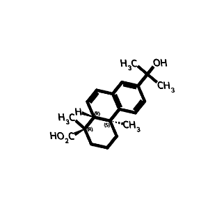 CC(C)(O)c1ccc2c(c1)C=C[C@H]1[C@](C)(C(=O)O)CCC[C@]21C